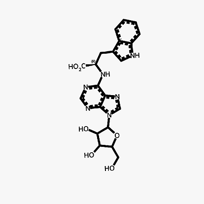 O=C(O)[C@@H](Cc1c[nH]c2ccccc12)Nc1ncnc2c1ncn2C1OC(CO)C(O)C1O